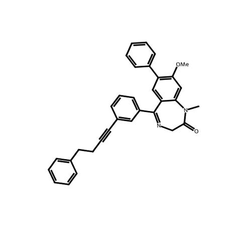 COc1cc2c(cc1-c1ccccc1)C(c1cccc(C#CCCc3ccccc3)c1)=NCC(=O)N2C